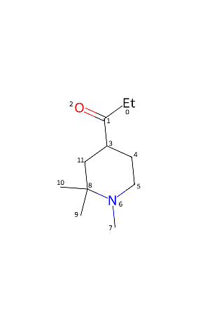 CCC(=O)C1CCN(C)C(C)(C)C1